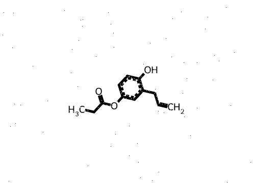 C=CCc1cc(OC(=O)CC)ccc1O